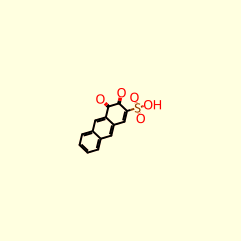 O=C1C(=O)c2cc3ccccc3cc2C=C1S(=O)(=O)O